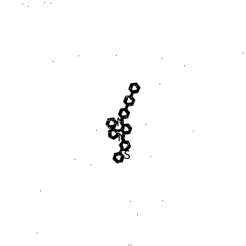 c1ccc(-c2ccc(-c3ccc(N(c4ccccc4)c4cccc5c4c4ccccc4n5-c4ccc5sc6ccccc6c5c4)cc3)cc2)cc1